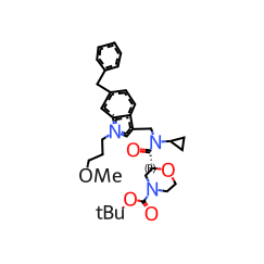 COCCCn1cc(CN(C(=O)[C@H]2CN(C(=O)OC(C)(C)C)CCO2)C2CC2)c2ccc(Cc3ccccc3)cc21